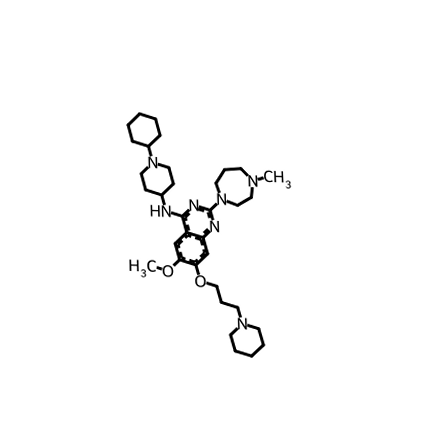 COc1cc2c(NC3CCN(C4CCCCC4)CC3)nc(N3CCCN(C)CC3)nc2cc1OCCCN1CCCCC1